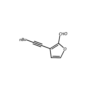 CCCCC#Cc1ccoc1C=O